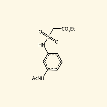 CCOC(=O)CS(=O)(=O)Nc1cccc(NC(C)=O)c1